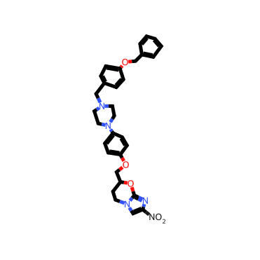 O=[N+]([O-])c1cn2c(n1)OC(COc1ccc(N3CCN(Cc4ccc(OCc5ccccc5)cc4)CC3)cc1)CC2